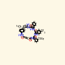 COc1cccc(C[C@H]2NC(=O)CCC(=O)Nc3ccc(cc3)C[C@@H](C(=O)O)NC(=O)[C@@H](Cc3ccccc3)NC(=O)[C@H](Cc3ccc(C(F)(F)F)cc3)NC2=O)c1